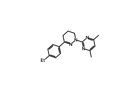 CCc1ccc(C2=NN(c3nc(C)cc(C)n3)CCC2)cc1